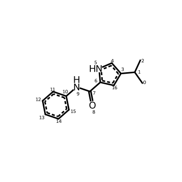 CC(C)c1c[nH]c(C(=O)Nc2ccccc2)c1